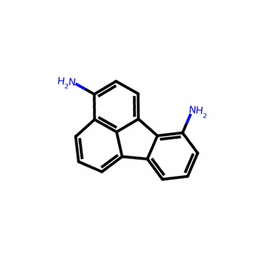 Nc1cccc2c1-c1ccc(N)c3cccc-2c13